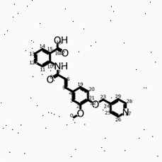 COc1cc(C=CC(=O)Nc2ccccc2C(=O)O)ccc1OCc1ccncc1